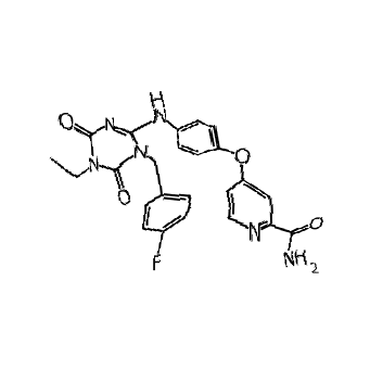 CCn1c(=O)nc(Nc2ccc(Oc3ccnc(C(N)=O)c3)cc2)n(Cc2ccc(F)cc2)c1=O